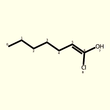 CCCCCC=C(O)Cl